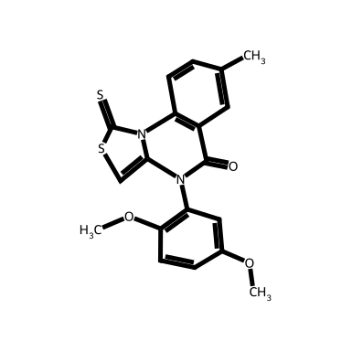 COc1ccc(OC)c(-n2c(=O)c3cc(C)ccc3n3c(=S)scc23)c1